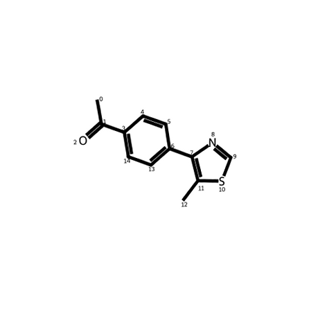 CC(=O)c1ccc(-c2ncsc2C)cc1